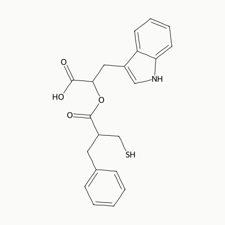 O=C(OC(Cc1c[nH]c2ccccc12)C(=O)O)C(CS)Cc1ccccc1